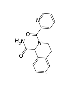 NC(=O)C1c2cc[c]cc2CCN1C(=O)c1ccccn1